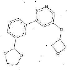 c1cc(-c2cc(OC3COC3)cnn2)cc(C2OCCO2)c1